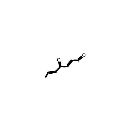 CC=CC(=O)C=C[C]=O